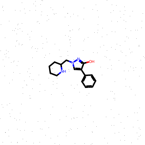 Oc1nn(CC2CCCCN2)cc1-c1ccccc1